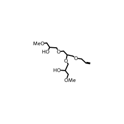 C=CCOCC(COCC(O)COC)OCC(O)COC